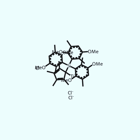 COc1cc(C)c(OC)c([Si](c2c(C)c(OC)cc(C)c2OC)(c2c(C)c(OC)cc(C)c2OC)[C]2([Ti+3])C(C)=C(C)C(C)=C2C)c1C.[Cl-].[Cl-].[Cl-]